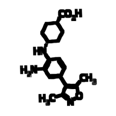 Cc1noc(C)c1-c1ccc(N[C@H]2CC[C@H](C(=O)O)CC2)c(N)c1